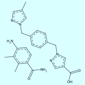 Cc1c(N)ccc(C(N)=O)c1C.Cc1cnn(Cc2ccc(Cn3cc(C(=O)O)cn3)cc2)c1